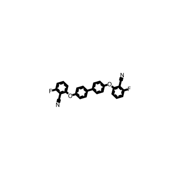 N#Cc1c(F)cccc1Oc1ccc(-c2ccc(Oc3cccc(F)c3C#N)cc2)cc1